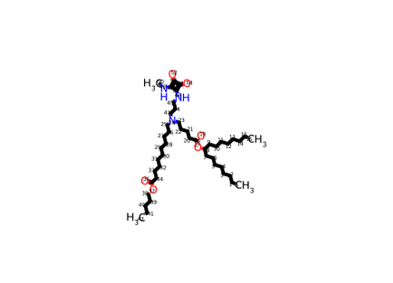 CCCCCCCCC(CCCCCCCC)OC(=O)CCCCN(CCCCCCCCCCC(=O)OCCCCC)CCCNc1c(NC)c(=O)c1=O